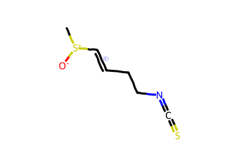 C[S+]([O-])/C=C/CCN=C=S